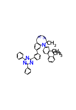 C=C1/C=C\C=C/Cc2ccc(-c3cccc(-c4nc(-c5ccccc5)nc(-c5ccccc5)n4)c3)cc2N1c1ccc(-c2ccccc2C)c(C)c1